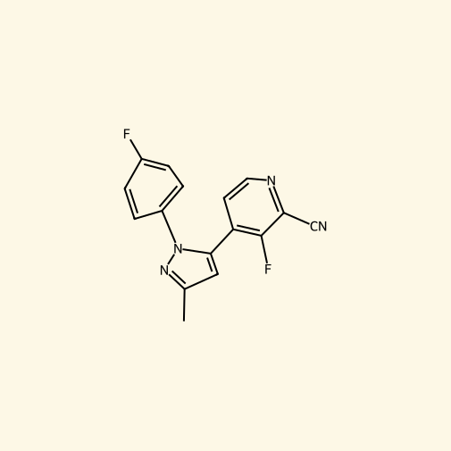 Cc1cc(-c2ccnc(C#N)c2F)n(-c2ccc(F)cc2)n1